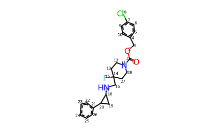 O=C(OCc1ccc(Cl)cc1)N1CCC(F)(CNC2CC2c2ccccc2)CC1